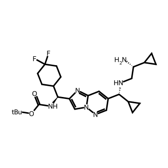 CC(C)(C)OC(=O)N[C@H](c1cn2ncc([C@H](NC[C@H](N)C3CC3)C3CC3)cc2n1)C1CCC(F)(F)CC1